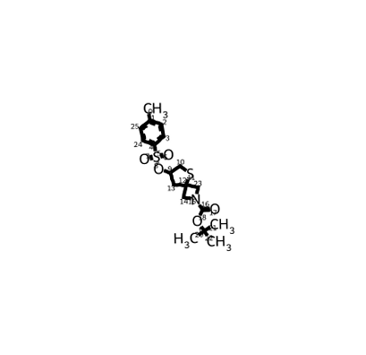 Cc1ccc(S(=O)(=O)OC2CSC3(C2)CN(C(=O)OC(C)(C)C)C3)cc1